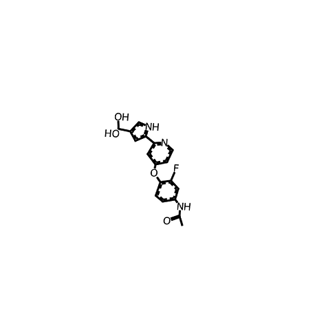 CC(=O)Nc1ccc(Oc2ccnc(-c3cc(C(O)O)c[nH]3)c2)c(F)c1